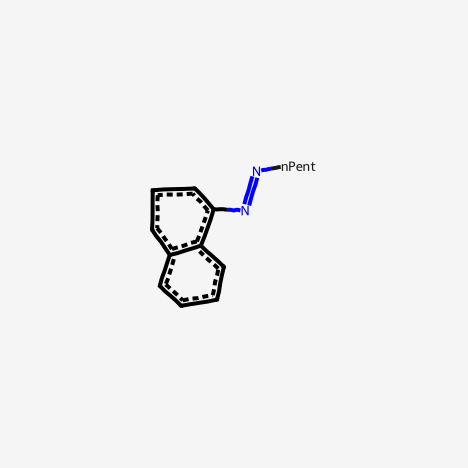 CCCCCN=Nc1cccc2ccccc12